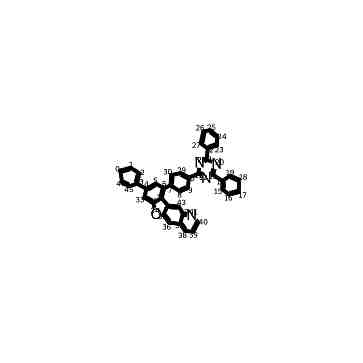 c1ccc(-c2cc(-c3ccc(-c4nc(-c5ccccc5)nc(-c5ccccc5)n4)cc3)c3c(c2)oc2cc4cccnc4cc23)cc1